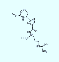 CC(C)CC(NC(=O)OC(C)(C)C)c1nc(C(=O)N[C@@H](CCCNC(=N)N)C(=O)O)co1